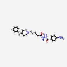 Nc1ccc(C(=O)NNC(=O)CCCCN2CCC(Cc3ccccc3)CC2)cc1